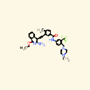 CCOc1nc(N)c(C#Cc2cc(C(=O)Nc3ccc(CN4CCN(C)CC4)c(C(F)(F)F)c3)ccc2C)c2ccccc12